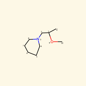 [CH2]C(CN1CCCCC1)OC